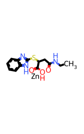 CCNC(=O)CC(Sc1nc2ccccc2[nH]1)C(=O)O.[Zn]